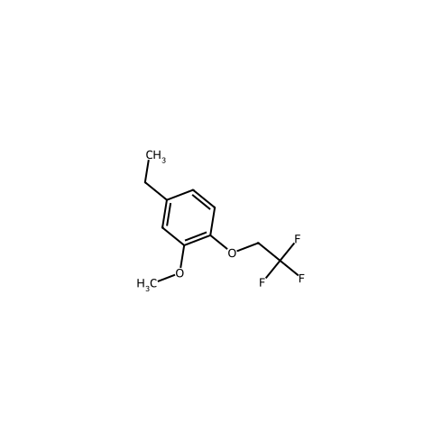 CCc1ccc(OCC(F)(F)F)c(OC)c1